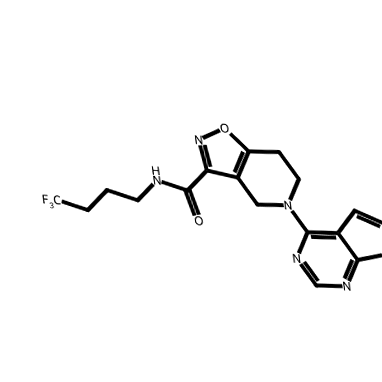 O=C(NCCCC(F)(F)F)c1noc2c1CN(c1ncnc3[nH]ccc13)CC2